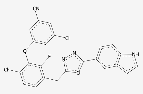 N#Cc1cc(Cl)cc(Oc2c(Cl)ccc(Cc3nnc(-c4ccc5[nH]ccc5c4)o3)c2F)c1